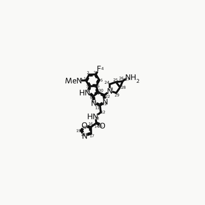 CNc1cc(F)cc2c1[nH]c1nc(CNC(=O)c3cnco3)nc(N3CC4C(N)C4C3)c12